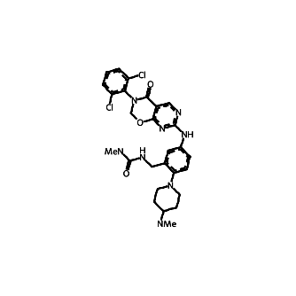 CNC(=O)NCc1cc(Nc2ncc3c(n2)OCN(c2c(Cl)cccc2Cl)C3=O)ccc1N1CCC(NC)CC1